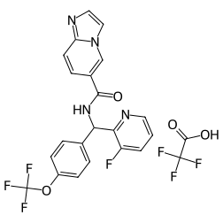 O=C(NC(c1ccc(OC(F)(F)F)cc1)c1ncccc1F)c1ccc2nccn2c1.O=C(O)C(F)(F)F